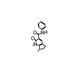 CC1CCc2cc(C(=O)Nc3ccccc3)c(=O)n(C)c21